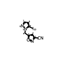 N#Cc1cc(Cn2nccc2I)on1